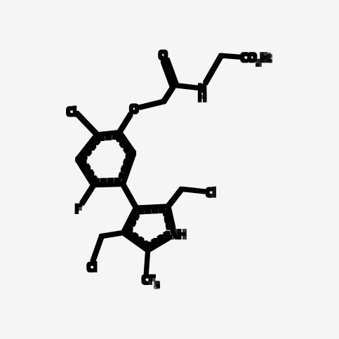 CCOC(=O)CNC(=O)COc1cc(-c2c(CCl)[nH]c(C(F)(F)F)c2CCl)c(F)cc1Cl